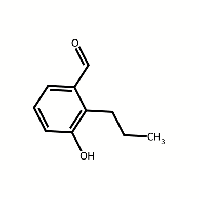 CCCc1c(O)cccc1C=O